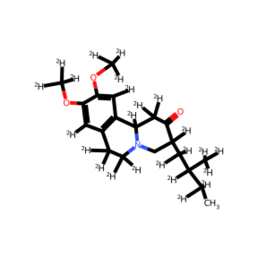 [2H]c1c(OC([2H])([2H])[2H])c(OC([2H])([2H])[2H])c([2H])c2c1C([2H])([2H])C([2H])([2H])N1CC([2H])(C([2H])([2H])C([2H])(C([2H])([2H])[2H])C([2H])([2H])C)C(=O)C([2H])([2H])C21[2H]